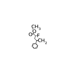 C=C(CC(F)C(=O)OCC)c1ccccc1